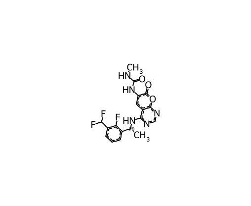 CNC(=O)Nc1cc2c(N[C@H](C)c3cccc(C(F)F)c3F)ncnc2oc1=O